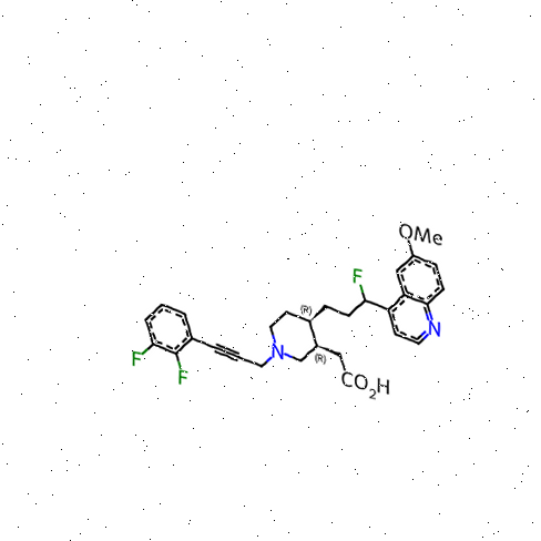 COc1ccc2nccc(C(F)CC[C@@H]3CCN(CC#Cc4cccc(F)c4F)C[C@@H]3CC(=O)O)c2c1